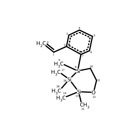 C=Cc1ccccc1[Si]1(C)CCO[Si](C)(C)[Si]1(C)C